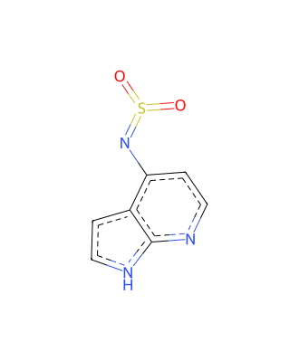 O=S(=O)=Nc1ccnc2[nH]ccc12